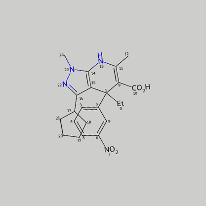 CCC1(c2cccc([N+](=O)[O-])c2)C(C(=O)O)=C(C)Nc2c1c(C1CCCC1)nn2C